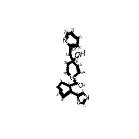 O=C(c1ccccc1-c1cnco1)N1CCC(O)(Cc2ccccn2)CC1